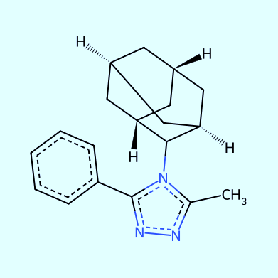 Cc1nnc(-c2ccccc2)n1C1[C@H]2C[C@@H]3C[C@@H](C[C@H]1C3)C2